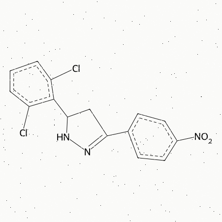 O=[N+]([O-])c1ccc(C2=NNC(c3c(Cl)cccc3Cl)C2)cc1